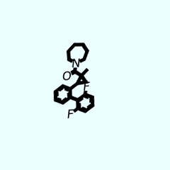 CC1(C(=O)N2CCCCCC2)CC1c1ccccc1-c1c(F)cccc1F